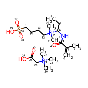 C=C(C)C(=O)NC(CC)[N+](C)(C)CCCCS(=O)(=O)O.C[N+](C)(C)CC(=O)O